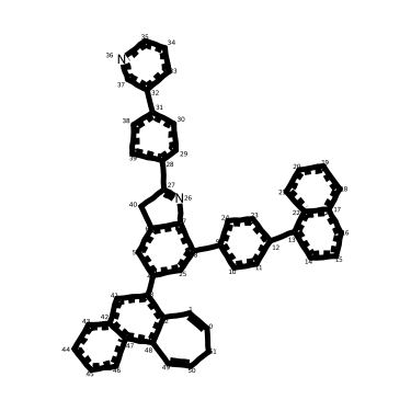 C1=Cc2c(-c3cc4c(c(-c5ccc(-c6cccc7ccccc67)cc5)c3)N=C(c3ccc(-c5cccnc5)cc3)C4)cc3ccccc3c2C=CC1